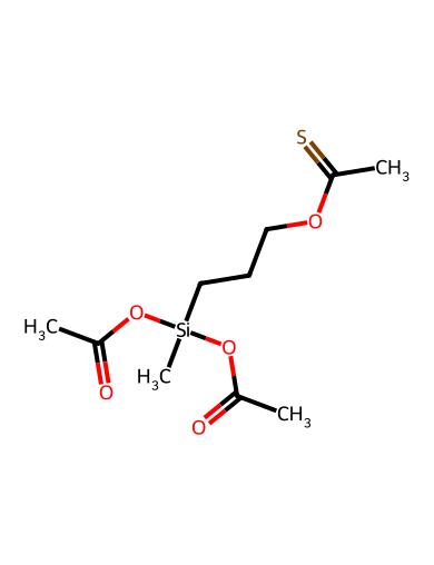 CC(=O)O[Si](C)(CCCOC(C)=S)OC(C)=O